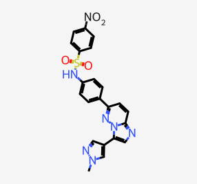 Cn1cc(-c2cnc3ccc(-c4ccc(NS(=O)(=O)c5ccc([N+](=O)[O-])cc5)cc4)nn23)cn1